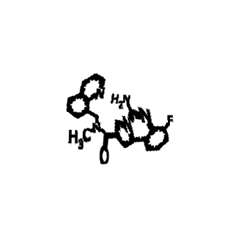 CN(Cc1cccc2cccnc12)C(=O)c1cc2c3cccc(F)c3nc(N)n2c1